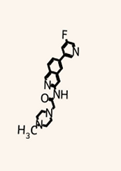 CN1CCN(CC(=O)Nc2cc3cc(-c4cncc(F)c4)ccc3cn2)CC1